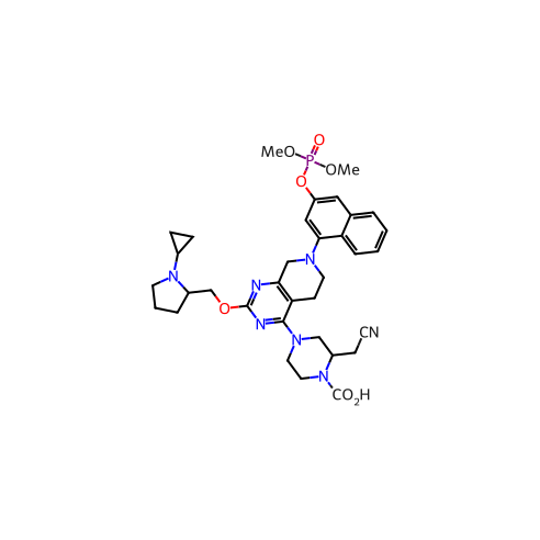 COP(=O)(OC)Oc1cc(N2CCc3c(nc(OCC4CCCN4C4CC4)nc3N3CCN(C(=O)O)C(CC#N)C3)C2)c2ccccc2c1